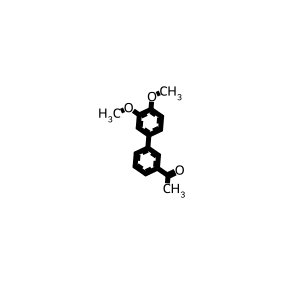 COc1ccc(-c2cccc(C(C)=O)c2)cc1OC